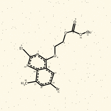 CCc1nc(OCCOC(=O)OC(C)(C)C)c2cc(Br)cc(C)c2n1